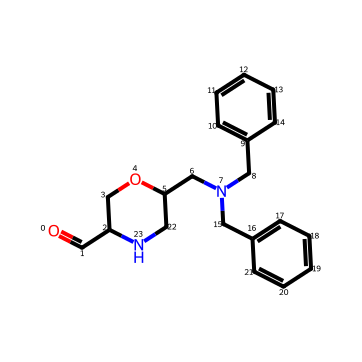 O=CC1COC(CN(Cc2ccccc2)Cc2ccccc2)CN1